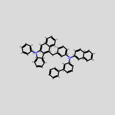 c1ccc(-c2cccc(N(c3cccc(Cc4c5ccccc5cc5c4c4ccccc4n5-c4ccccc4)c3)c3ccc4ccccc4c3)c2)cc1